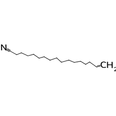 C=CCCCCCCCCCCCCCCC#N